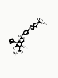 CC(=O)c1c(C)c2cnc(Nc3ccc(N4CC5(C4)CN(C(C)C)C5)cc3)nc2n(C23CC(C2)C3)c1=O